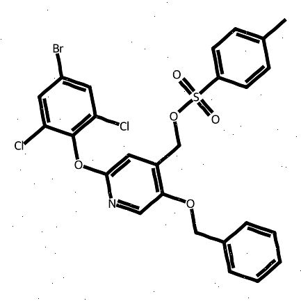 Cc1ccc(S(=O)(=O)OCc2cc(Oc3c(Cl)cc(Br)cc3Cl)ncc2OCc2ccccc2)cc1